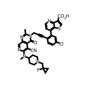 Cc1nc2cnc(N(C)C3CCN(CC4(F)CC4)CC3)c(C#N)c2c(=O)n1CC#Cc1ccc(Cl)cc1-c1ccnc2c(C(=O)O)csc12